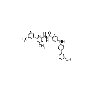 Cc1cncc(-c2cc(C)nc(NNC(=O)c3ccc(Nc4ccc(-c5cccc(O)c5)cc4)cn3)n2)c1